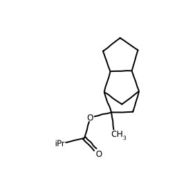 CC(C)C(=O)OC1(C)CC2CC1C1CCCC21